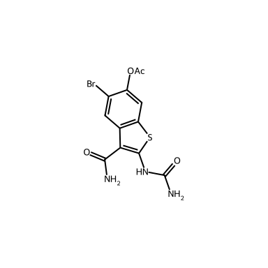 CC(=O)Oc1cc2sc(NC(N)=O)c(C(N)=O)c2cc1Br